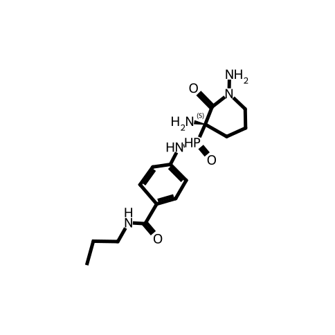 CCCNC(=O)c1ccc(N[PH](=O)[C@@]2(N)CCCN(N)C2=O)cc1